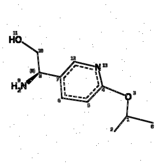 CC(C)Oc1ccc([C@@H](N)CO)cn1